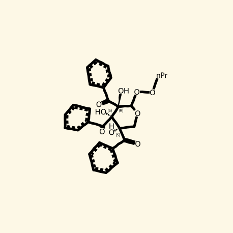 CCCOOC1OC[C@@](O)(C(=O)c2ccccc2)[C@@](O)(C(=O)c2ccccc2)[C@]1(O)C(=O)c1ccccc1